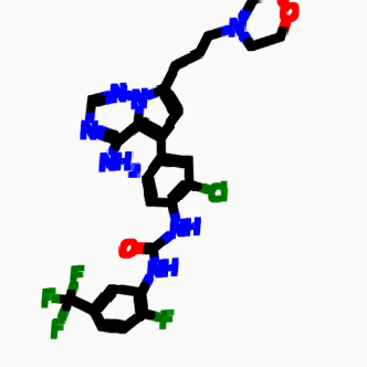 Nc1ncnn2c(CCCN3CCOCC3)cc(-c3ccc(NC(=O)Nc4cc(C(F)(F)F)ccc4F)c(Cl)c3)c12